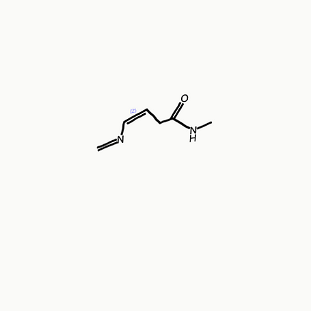 C=N/C=C\CC(=O)NC